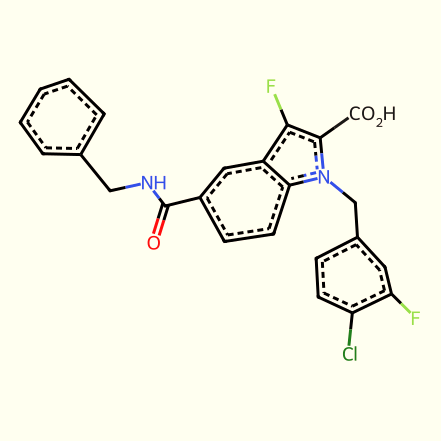 O=C(NCc1ccccc1)c1ccc2c(c1)c(F)c(C(=O)O)n2Cc1ccc(Cl)c(F)c1